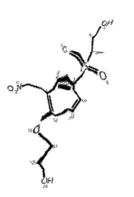 O=[N+]([O-])c1cc(S(=O)(=O)CCO)ccc1OCCO